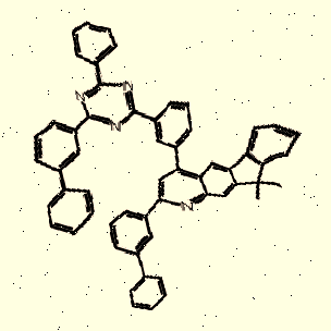 CC1(C)c2ccccc2-c2cc3c(-c4cccc(-c5nc(-c6ccccc6)nc(-c6cccc(-c7ccccc7)c6)n5)c4)cc(-c4cccc(-c5ccccc5)c4)nc3cc21